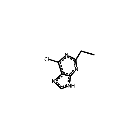 Clc1nc(CI)nc2[nH]cnc12